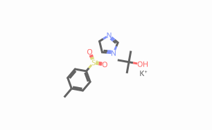 C1=NC=NC1.CC(C)(C)O.Cc1ccc([S-](=O)=O)cc1.[K+]